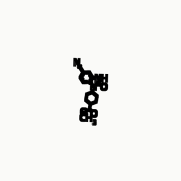 COC(=O)C1CCC(n2c(=O)[nH]c3cc(C#N)ccc32)CC1